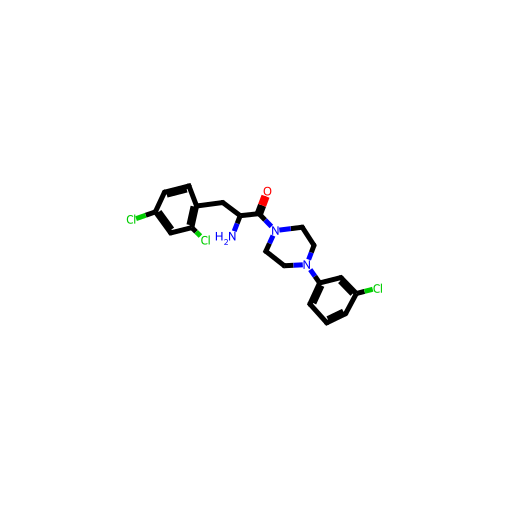 NC(Cc1ccc(Cl)cc1Cl)C(=O)N1CCN(c2cccc(Cl)c2)CC1